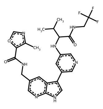 Cc1ncoc1C(=O)NCc1cnc2[nH]cc(-c3cncc(NC(C(=O)NCC(F)(F)F)C(C)C)c3)c2c1